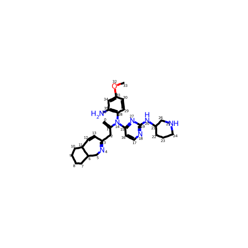 C=C(CC1=NCC2CCCCC2C=C1)N(c1ccnc(NC2CCCNC2)n1)c1ccc(OC)cc1N